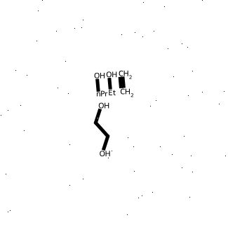 C=C.CCCO.CCO.OCCO